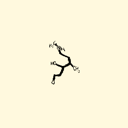 CNCCC(C)C(O)CC=O